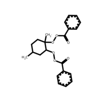 [CH2]C1CCC([CH2])(OOC(=O)c2ccccc2)C(OOC(=O)c2ccccc2)C1